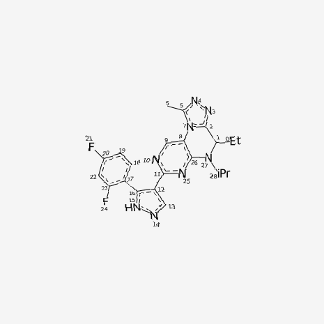 CCC1c2nnc(C)n2-c2cnc(-c3cn[nH]c3-c3ccc(F)cc3F)nc2N1C(C)C